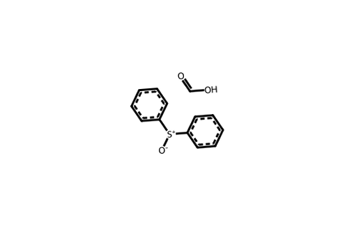 O=CO.[O-][S+](c1ccccc1)c1ccccc1